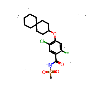 CS(=O)(=O)NC(=O)c1cc(Cl)c(OC2CCC3(CCCCC3)CC2)cc1F